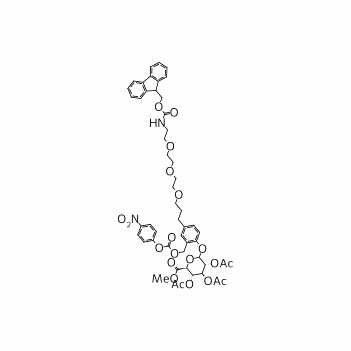 COC(=O)[C@H]1OC(Oc2ccc(CCCOCCOCCOCCNC(=O)OCC3c4ccccc4-c4ccccc43)cc2COC(=O)Oc2ccc([N+](=O)[O-])cc2)[C@H](OC(C)=O)[C@@H](OC(C)=O)[C@@H]1OC(C)=O